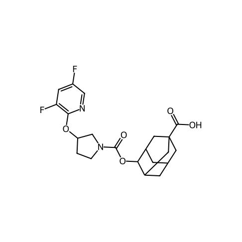 O=C(OC1C2CC3CC1CC(C(=O)O)(C3)C2)N1CCC(Oc2ncc(F)cc2F)C1